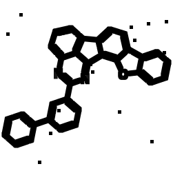 c1ccc(-c2cccc(-c3nc4c5c(cccc5n3)-c3ccc5c(oc6ccccc65)c3-4)c2)cc1